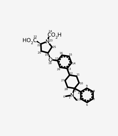 CN(C)C1(c2ccccc2)CCC(c2cccc(O[C@H]3C[C@@H](C(=O)O)N(C(=O)O)C3)c2)CC1